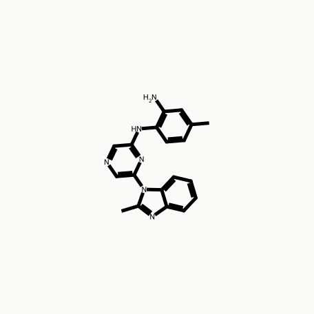 Cc1ccc(Nc2cncc(-n3c(C)nc4ccccc43)n2)c(N)c1